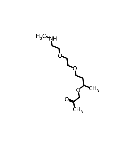 CNCCOCCOCCC(C)OCC(C)=O